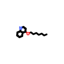 CCCCCCCOc1ccnc2ccccc12